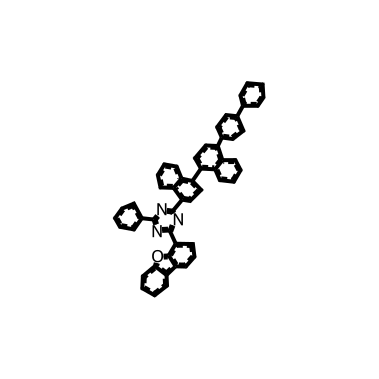 c1ccc(-c2ccc(-c3ccc(-c4ccc(-c5nc(-c6ccccc6)nc(-c6cccc7c6oc6ccccc67)n5)c5ccccc45)c4ccccc34)cc2)cc1